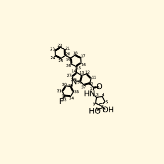 O=C(NC1CCS(O)(O)C1)c1ccc2c(-c3cccc(-c4ccccc4)c3)cn(-c3ccc(F)cc3)c2c1